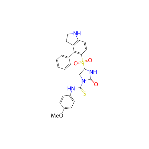 COc1ccc(NC(=S)N2CC(S(=O)(=O)c3ccc4c(c3-c3ccccc3)CCN4)NC2=O)cc1